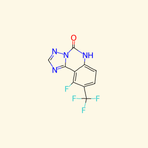 O=c1[nH]c2ccc(C(F)(F)F)c(F)c2c2ncnn12